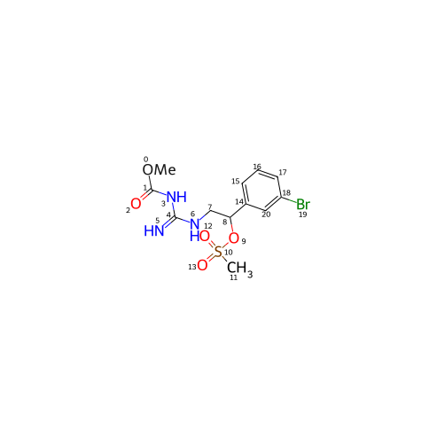 COC(=O)NC(=N)NCC(OS(C)(=O)=O)c1cccc(Br)c1